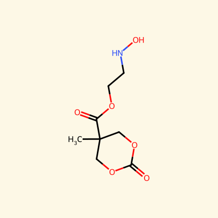 CC1(C(=O)OCCNO)COC(=O)OC1